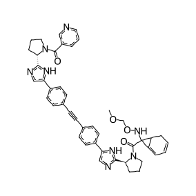 COCONC1(C(=O)N2CCC[C@H]2c2ncc(-c3ccc(C#Cc4ccc(-c5cnc([C@@H]6CCCN6C(=O)c6cccnc6)[nH]5)cc4)cc3)[nH]2)C2=CC=CCC21